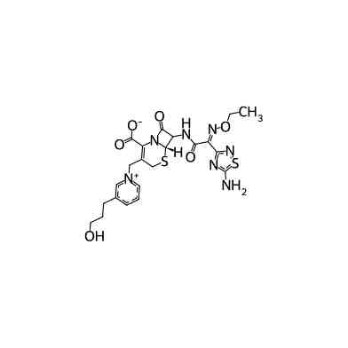 CCON=C(C(=O)NC1C(=O)N2C(C(=O)[O-])=C(C[n+]3cccc(CCCO)c3)CS[C@@H]12)c1nsc(N)n1